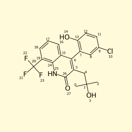 CC(C)(O)Cc1c(-c2cc(Cl)ccc2O)c2cccc(C(F)(F)F)c2[nH]c1=O